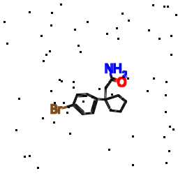 NC(=O)CC1(c2ccc(Br)cc2)CCCC1